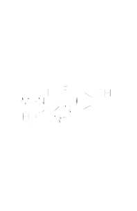 C=C(NC)c1ncn(-c2ccc(C)cc2)c1C(F)F